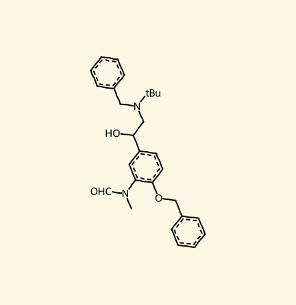 CN(C=O)c1cc(C(O)CN(Cc2ccccc2)C(C)(C)C)ccc1OCc1ccccc1